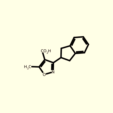 Cc1onc(C2Cc3ccccc3C2)c1C(=O)O